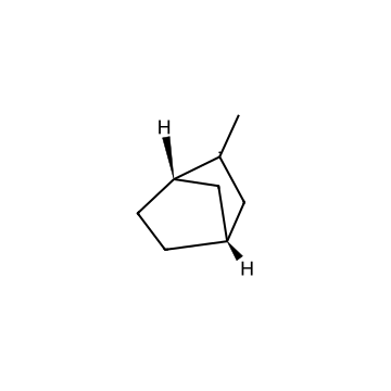 C[C]1C[C@@H]2CC[C@H]1C2